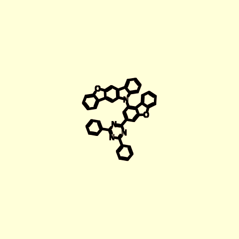 c1ccc(-c2nc(-c3ccccc3)nc(-c3cc(-n4c5ccccc5c5cc6oc7ccccc7c6cc54)c4c(c3)oc3ccccc34)n2)cc1